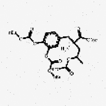 CCCCOC(=O)Oc1ccc(C[C@](N)(CC(C)OC(=O)C(C)CCC)C(=O)OC)cc1OC(=O)OCCCC